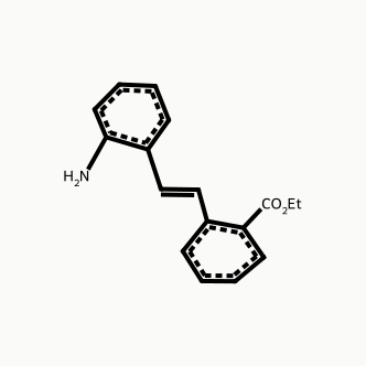 CCOC(=O)c1ccccc1C=Cc1ccccc1N